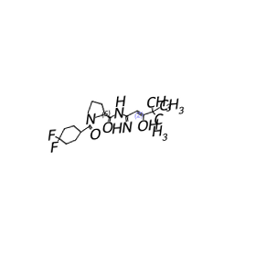 CC(C)(C)/C(O)=C/C(=N)NC(=O)[C@@H]1CCCN1C(=O)C1CCC(F)(F)CC1